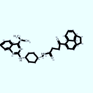 CN(C)c1nc(N[C@H]2CC[C@@H](CNC(=O)CCC(=O)c3ccc4c5c(cccc35)CC4)CC2)nc2ccccc12